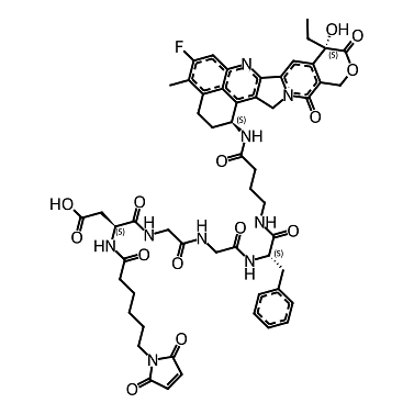 CC[C@@]1(O)C(=O)OCc2c1cc1n(c2=O)Cc2c-1nc1cc(F)c(C)c3c1c2[C@@H](NC(=O)CCCNC(=O)[C@H](Cc1ccccc1)NC(=O)CNC(=O)CNC(=O)[C@H](CC(=O)O)NC(=O)CCCCCN1C(=O)C=CC1=O)CC3